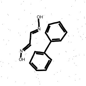 O/N=C/C=N/O.c1ccc(-c2ccccc2)cc1